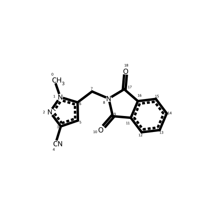 Cn1nc(C#N)cc1CN1C(=O)c2ccccc2C1=O